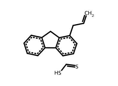 C=CCc1cccc2c1Cc1ccccc1-2.S=CS